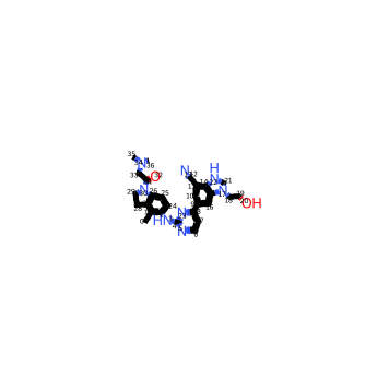 Cc1c(Nc2nccc(-c3cc(C#N)c4c(c3)N(CCO)CN4)n2)ccc2c1CCN2C(=O)CN(C)C